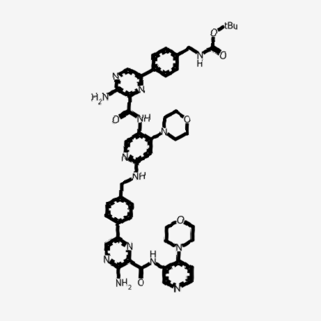 CC(C)(C)OC(=O)NCc1ccc(-c2cnc(N)c(C(=O)Nc3cnc(NCc4ccc(-c5cnc(N)c(C(=O)Nc6cnccc6N6CCOCC6)n5)cc4)cc3N3CCOCC3)n2)cc1